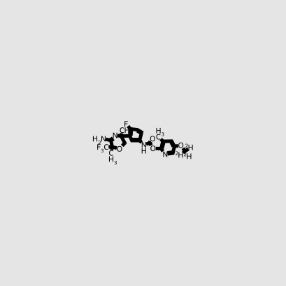 [2H]C([2H])([2H])Oc1cnc(OC(=O)Nc2ccc(F)c(C3(C)COC(C)(C(F)(F)F)C(N)=N3)c2)c(C)c1